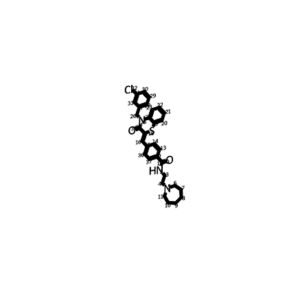 O=C(NCCN1CCCCCC1)c1ccc(C=C2Sc3ccccc3N(Cc3cccc(Cl)c3)C2=O)cc1